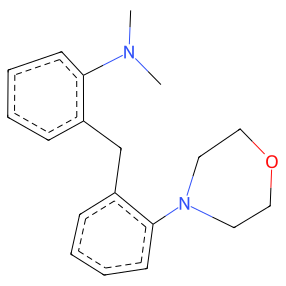 CN(C)c1ccccc1Cc1ccccc1N1CCOCC1